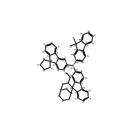 CCC1CC2CCCC(C2)C12c1ccccc1-c1ccc(N(c3ccc4c(c3)-c3ccccc3C43CCCC3)c3ccc4c(c3)C(C)(C)c3ccccc3-4)cc12